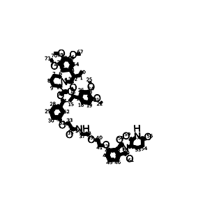 CCC(C(=O)N1CCCC[C@H]1C(=O)O[C@H](CCc1ccc(OC)c(OC)c1)c1cccc(OCC(=O)NCCOCCOc2cccc3c2C(=O)N(C2CCC(=O)NC2=O)C3=O)c1)c1cc(OC)c(OC)c(OC)c1